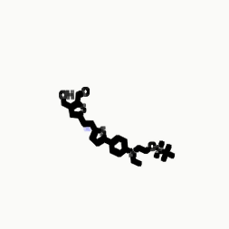 CCN(CCO[Si](C)(C)C(C)(C)C)c1ccc(-c2ccc(/C=C/c3cc(CO)c(C=O)s3)s2)cc1